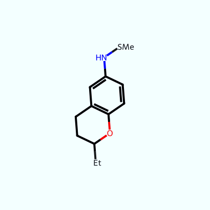 CCC1CCc2cc(NSC)ccc2O1